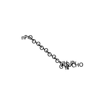 CCCOCCOCCOCCOCCOCCOCCOCCOCCNC(=O)CCN(C)C(=O)CC(C=O)C(C)C